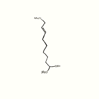 COCC=CCCCCCC(OC)OC